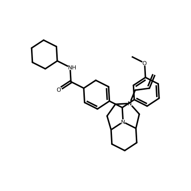 C=CCN1CCC2CCCC(C1)N2C(C1=CCC(C(=O)NC2CCCCC2)C=C1)c1cccc(OC)c1